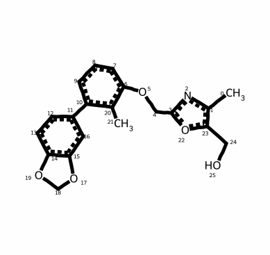 Cc1nc(COc2cccc(-c3ccc4c(c3)OCO4)c2C)oc1CO